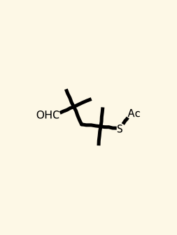 CC(=O)SC(C)(C)CC(C)(C)C=O